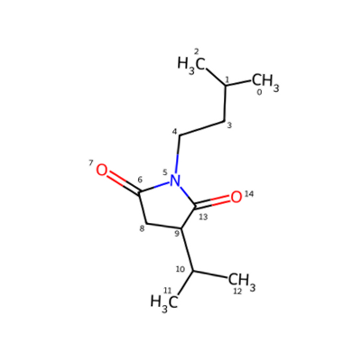 CC(C)CCN1C(=O)CC(C(C)C)C1=O